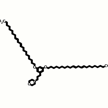 O=C(O)CCCCCCCC=CCC=CCCCCCCCCCOc1cc(CCCN2CCOCC2)cc(OCCCCCCCCCC=CCC=CCCCCCCCC(=O)O)c1